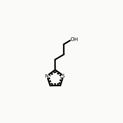 OCCCc1nccs1